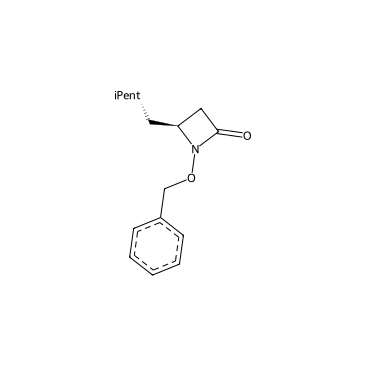 CCC[C@@H](C)C[C@H]1CC(=O)N1OCc1ccccc1